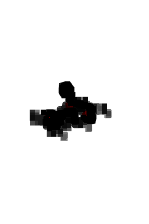 CC(C)C[C@@H](NC(=O)[C@@H](CCc1ccccc1)NC(=O)CNC[C@@H](C)c1ccccc1)C(=O)N[C@H](CCCCN)C(=O)N1CCC(N)(C(=O)O)CC1